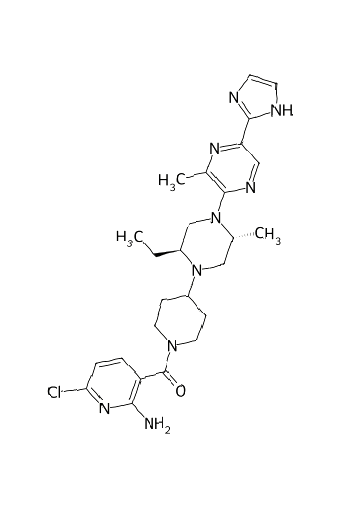 CC[C@H]1CN(c2ncc(-c3ncc[nH]3)nc2C)[C@H](C)CN1C1CCN(C(=O)c2ccc(Cl)nc2N)CC1